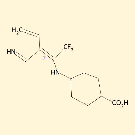 C=C/C(C=N)=C(/NC1CCC(C(=O)O)CC1)C(F)(F)F